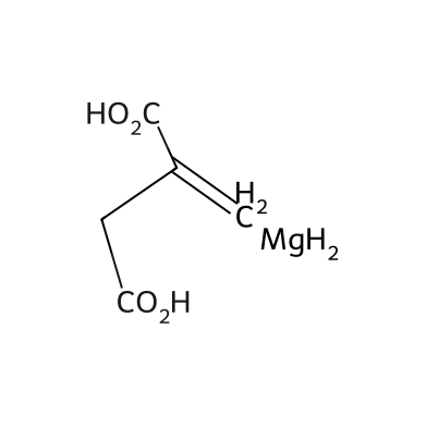 C=C(CC(=O)O)C(=O)O.[MgH2]